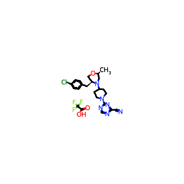 C[C@H]1CN(C2CCN(c3ncnc(C#N)n3)CC2)[C@@H](Cc2ccc(Cl)cc2)CO1.O=C(O)C(F)(F)F